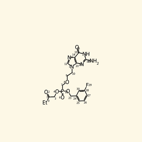 CCC(=O)COP(=O)(COCCn1cnc2c(=O)[nH]c(N)nc21)OCc1cccc(F)c1